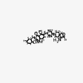 COc1ccc(C)cc1Cn1cnc2ccc(Sc3cnc(N4CCC5(CC4)CO[C@@H](C)[C@H]5N)cn3)c(Cl)c2c1=O